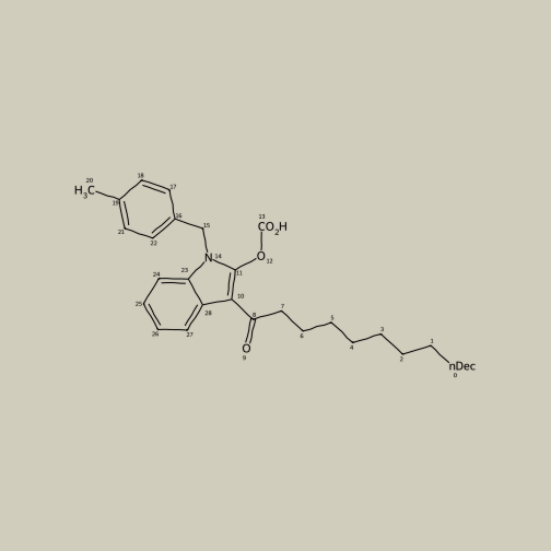 CCCCCCCCCCCCCCCCCC(=O)c1c(OC(=O)O)n(Cc2ccc(C)cc2)c2ccccc12